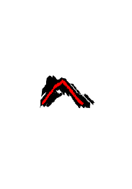 O.O.O.O.O.O.O.O.O.O.[Na+].[Na+].[Na+].[Na+].[Na+].[Na+].[Na+].[Na+].[Na+].[Na+].[Na+].[Na+].[Na+].[Na+].[Na+].[Na+].[Na+].[Na+].[Na+].[Na+].[Na+].[Na+].[Na+].[Na+].[Na+].[Na+].[Na+].[Na+].[Na+].[Na+].[Na+].[Na+].[Na+].[Na+].[Na+].[Na+].[Na+].[Na+].[Na+].[Na+].[OH-].[OH-].[OH-].[OH-].[OH-].[OH-].[OH-].[OH-].[OH-].[OH-].[OH-].[OH-].[OH-].[OH-].[OH-].[OH-].[OH-].[OH-].[OH-].[OH-].[OH-].[OH-].[OH-].[OH-].[OH-].[OH-].[OH-].[OH-].[OH-].[OH-].[OH-].[OH-].[OH-].[OH-].[OH-].[OH-].[OH-].[OH-].[OH-].[OH-]